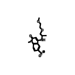 COCCOCC(C)Nc1cc(=O)n(C)c2ccc([N+](=O)[O-])cc12